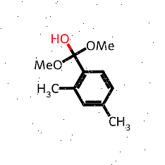 COC(O)(OC)c1ccc(C)cc1C